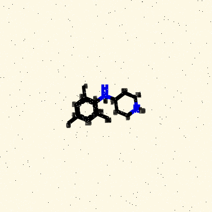 Cc1cc(C)c(NC2CC[N]CC2)c(C)c1